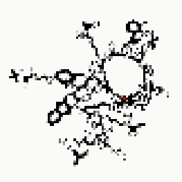 CC(=O)NCCCC[C@@H]1NC(=O)[C@H](Cc2c[nH]c3c(C)cccc23)NC(=O)[C@H]([C@@H](C)OC(C)(C)C)NC(=O)[C@H](CC(N)=O)NC(=O)[C@@H](NC(C)=O)C(C)(C)SSC(C)(C)[C@@H](C(=O)N[C@@H](Cc2ccc(OCCNC(=O)OC(C)(C)C)cc2)C(=O)N[C@@H](Cc2ccc3ccccc3c2)C(=O)N[C@@](C)(CCCCNC(=O)OC(C)(C)C)C(=O)N[C@@H](CCCCNC(C)=O)C(=O)N[C@@H](CC(N)=O)C(=O)N[C@H](CC(C)C)C(N)=O)NC1=O